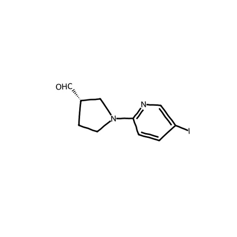 O=C[C@H]1CCN(c2ccc(I)cn2)C1